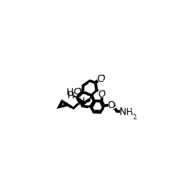 NCOc1ccc2c3c1OC1C(=O)CC[C@@]4(O)[C@@H](C2)N(CC2CC2)CC[C@]314